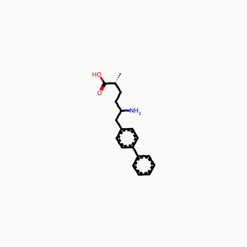 C[C@H](CCC(N)Cc1ccc(-c2ccccc2)cc1)C(=O)O